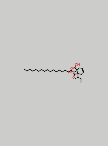 CCCCCCCCCCCCCCCCCCC1(C(=O)O)CC=CCC1(C(=O)O)C(C)CC